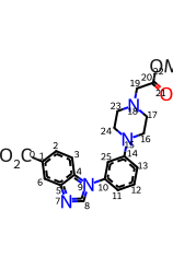 CCOC(=O)c1ccc2c(c1)ncn2-c1cccc(N2CCN(CC(=O)OC)CC2)c1